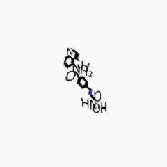 CC12C=CC=NC1=CC=CC2NC(=O)c1ccc(/C=C/C(=O)NO)cc1